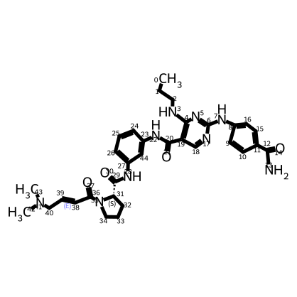 CCCNc1nc(Nc2ccc(C(N)=O)cc2)ncc1C(=O)Nc1cccc(NC(=O)[C@@H]2CCCN2C(=O)/C=C/CN(C)C)c1